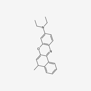 CCN(CC)c1ccc2c(c1)OC1=CC(C)c3ccccc3C1=N2